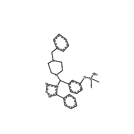 CC(C)(C)[Si](C)(C)Oc1cccc(C(N2CCN(Cc3ccccc3)CC2)n2nnnc2-c2ccccc2)c1